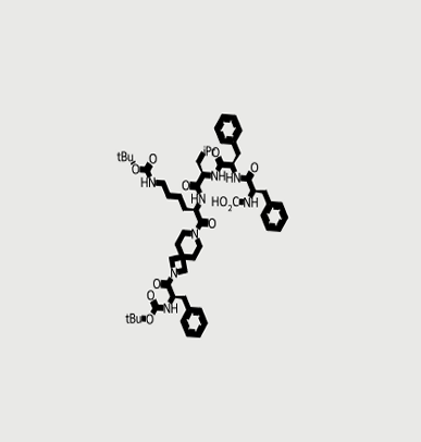 CC(C)C[C@@H](NC(=O)[C@@H](Cc1ccccc1)NC(=O)[C@@H](Cc1ccccc1)NC(=O)O)C(=O)N[C@H](CCCCNC(=O)OC(C)(C)C)C(=O)N1CCC2(CC1)CN(C(=O)[C@@H](Cc1ccccc1)NC(=O)OC(C)(C)C)C2